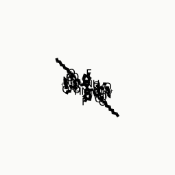 CCCCCCCCOC(=O)O[C@H]1C[C@@H](Cc2c(-c3[nH]c4cc(F)ccc4c3C[C@@H]3C[C@H](OC(=O)OCCCCCCCC)CN3C(=O)[C@H](CCC)NC(=O)[C@H](C)NC)[nH]c3cc(F)ccc23)N(C(=O)[C@H](CC)NC(=O)[C@H](C)NC)C1